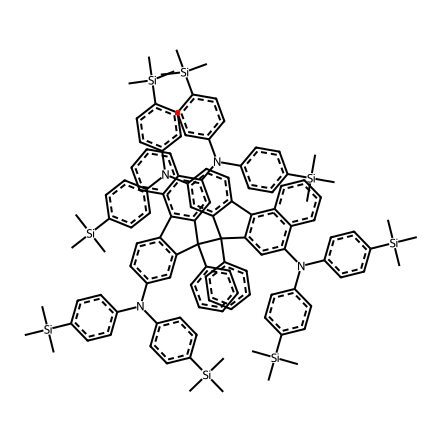 C[Si](C)(C)c1ccc(N(c2ccc([Si](C)(C)C)cc2)c2ccc3c(c2)C(c2ccccc2)(C2(c4ccccc4)c4cc(N(c5ccc([Si](C)(C)C)cc5)c5ccc([Si](C)(C)C)cc5)ccc4-c4c2cc(N(c2ccc([Si](C)(C)C)cc2)c2ccc([Si](C)(C)C)cc2)c2ccccc42)c2cc(N(c4ccc([Si](C)(C)C)cc4)c4ccc([Si](C)(C)C)cc4)c4ccccc4c2-3)cc1